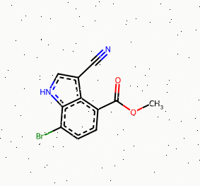 COC(=O)c1ccc(Br)c2[nH]cc(C#N)c12